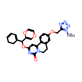 CCCCn1nnnc1COc1ccc2c(c1)CCn1c-2cc(OC(C2=CC=CCC2)C2=COC=CO2)nc1=O